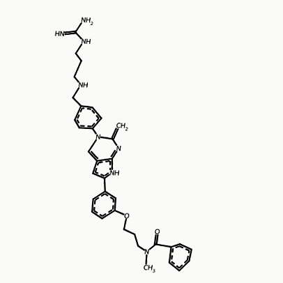 C=C1N=c2[nH]c(-c3cccc(OCCCN(C)C(=O)c4ccccc4)c3)cc2=CN1c1ccc(CNCCCNC(=N)N)cc1